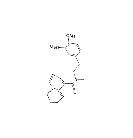 COc1ccc(CCN(C)C(=O)c2cccc3ccccc23)cc1OC